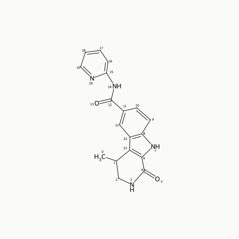 CC1CNC(=O)c2[nH]c3ccc(C(=O)Nc4ccccn4)cc3c21